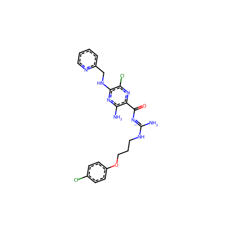 N/C(=N\C(=O)c1nc(Cl)c(NCc2ccccn2)nc1N)NCCCOc1ccc(Cl)cc1